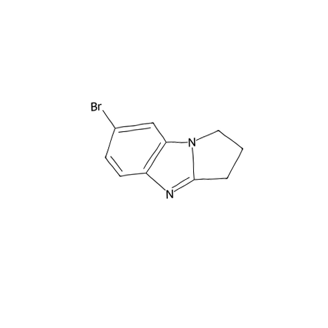 Brc1ccc2nc3n(c2c1)CCC3